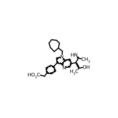 CC(=N)/C(=C(/C)O)c1cnc2c(-c3ccc(CC(=O)O)cc3)cn(CC3CCCCCC3)c2c1